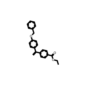 C=C(c1ccc(OCc2ccccc2)cc1)c1ccc(C(=O)OCC)cc1